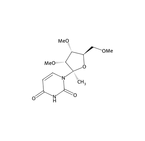 COC[C@H]1O[C@@](C)(n2ccc(=O)[nH]c2=O)[C@H](OC)[C@@H]1OC